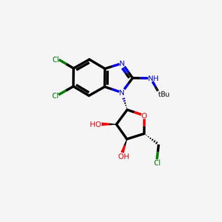 CC(C)(C)Nc1nc2cc(Cl)c(Cl)cc2n1[C@@H]1O[C@H](CCl)[C@@H](O)[C@H]1O